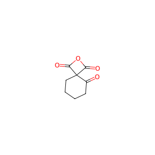 O=C1CCCCC12C(=O)OC2=O